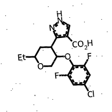 CCC1CC(c2n[nH]cc2C(=O)O)C(Oc2c(F)cc(Cl)cc2F)CO1